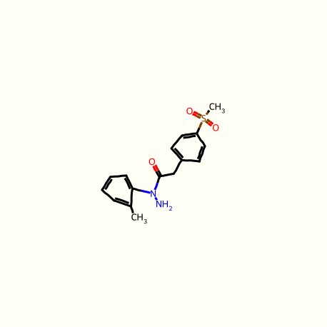 Cc1ccccc1N(N)C(=O)Cc1ccc(S(C)(=O)=O)cc1